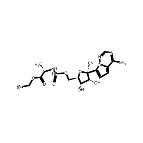 C[C@H](N[PH](=O)OC[C@H]1O[C@@](C#N)(c2ccc3c(N)ncnn23)[C@H](O)[C@@H]1O)C(=O)OCC(C)(C)C